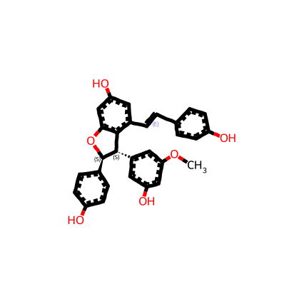 COc1cc(O)cc([C@H]2c3c(/C=C/c4ccc(O)cc4)cc(O)cc3O[C@@H]2c2ccc(O)cc2)c1